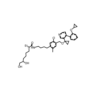 CCN(CCCCC(O)CO)C(=O)NCCCCc1cc(Cl)c(COC2(c3cnccc3-c3ccccc3OC3CC3)CC2)cc1C